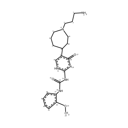 NCCCN1CCCC(c2c[nH]c(NC(=O)Nc3ccccc3OC(F)(F)F)nc2=O)CC1